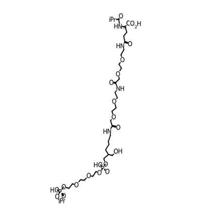 CC(C)OP(=O)(O)OCCOCCOCCOP(=O)(O)OCC(CO)CCCCNC(=O)COCCOCCNC(=O)COCCOCCNC(=O)CC[C@@H](NC(=O)C(C)C)C(=O)O